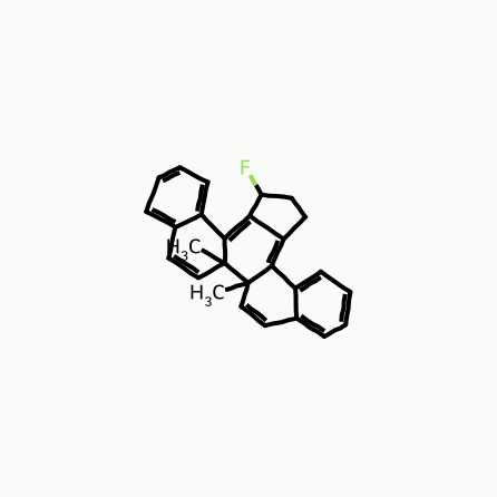 CC12C=Cc3ccccc3C1=C1CCC(F)C1=C1c3ccccc3C=CC12C